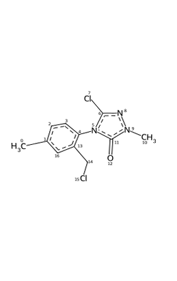 Cc1ccc(-n2c(Cl)nn(C)c2=O)c(CCl)c1